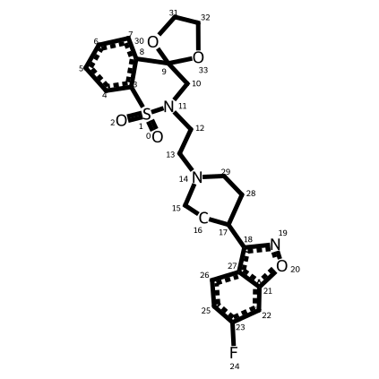 O=S1(=O)c2ccccc2C2(CN1CCN1CCC(c3noc4cc(F)ccc34)CC1)OCCO2